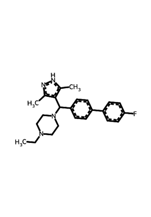 CCN1CCN(C(c2ccc(-c3ccc(F)cc3)cc2)c2c(C)n[nH]c2C)CC1